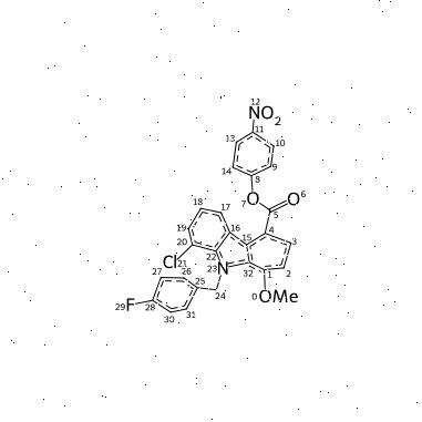 COc1ccc(C(=O)Oc2ccc([N+](=O)[O-])cc2)c2c3cccc(Cl)c3n(Cc3ccc(F)cc3)c12